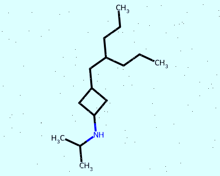 CCCC(CCC)CC1CC(NC(C)C)C1